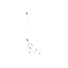 C#CCOCCCCCCOCC#Cc1ccc2c(c1)n(C)c(=O)n2C1CCC(=O)NC1=O